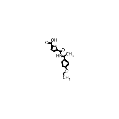 CCOc1ccc(C(C)NC(=O)c2ccc(C(=O)O)s2)cc1